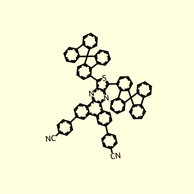 N#Cc1ccc(-c2ccc3c(c2)c2cc(-c4ccc(C#N)cc4)ccc2c2nc4c(-c5cccc6c5-c5ccccc5C65c6ccccc6-c6ccccc65)sc(-c5cccc6c5-c5ccccc5C65c6ccccc6-c6ccccc65)c4nc32)cc1